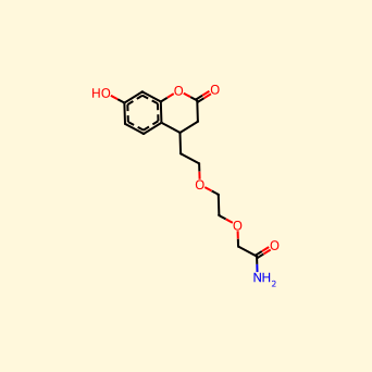 NC(=O)COCCOCCC1CC(=O)Oc2cc(O)ccc21